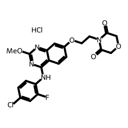 COc1nc(Nc2ccc(Cl)cc2F)c2ccc(OCCN3C(=O)COCC3=O)cc2n1.Cl